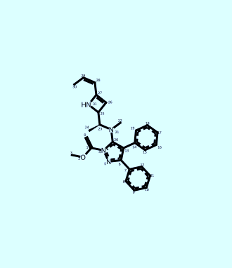 C=C(OC)n1nc(-c2ccccc2)c(-c2ccccc2)c1N(C)[C@@H](C)C1C=C(/C=C\C)N1